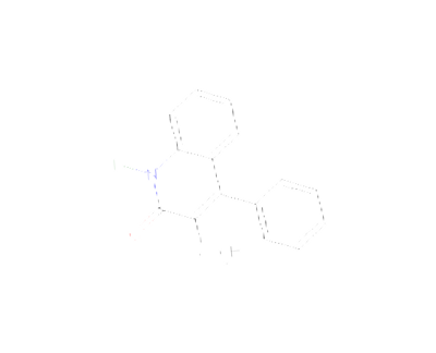 O=C(O)c1c(-c2ccccc2)c2ccccc2n(F)c1=O